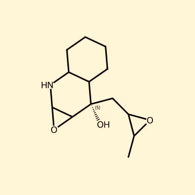 CC1OC1C[C@]1(O)C2CCCCC2NC2OC21